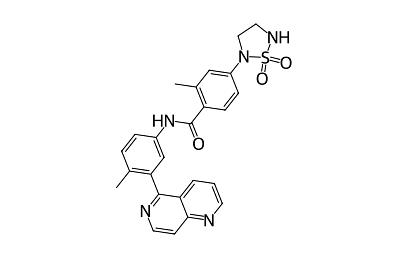 Cc1cc(N2CCNS2(=O)=O)ccc1C(=O)Nc1ccc(C)c(-c2nccc3ncccc23)c1